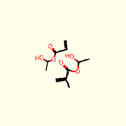 C=C(C)C(=O)OC(C)O.C=CC(=O)OC(C)O